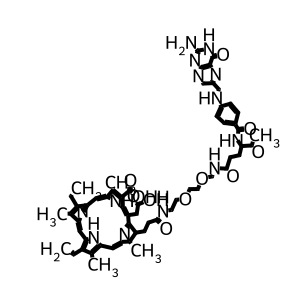 C=Cc1c(C)c2cc3nc(c(CC(=O)O)c4[nH]c(cc5nc(cc1[nH]2)C(C)=C5CC)c(C)c4C(=O)O)C(CCC(=O)NCCOCCOCNC(=O)CCC(NC(=O)c1ccc(NCc2cnc4nc(N)[nH]c(=O)c4n2)cc1)C(C)=O)C3C